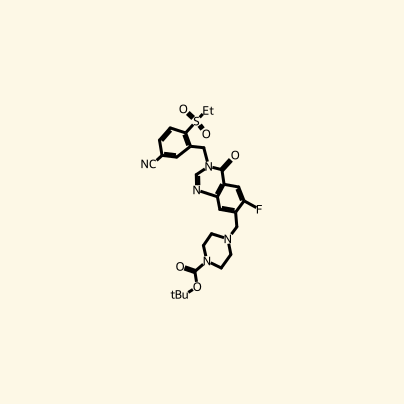 CCS(=O)(=O)c1ccc(C#N)cc1Cn1cnc2cc(CN3CCN(C(=O)OC(C)(C)C)CC3)c(F)cc2c1=O